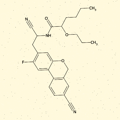 CCCCC(OCCC)C(=O)NC(C#N)Cc1cc2c(cc1F)-c1ccc(C#N)cc1CO2